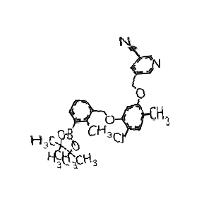 Cc1cc(Cl)c(OCc2cccc(B3OC(C)(C)C(C)(C)O3)c2C)cc1OCc1cncc(C#N)c1